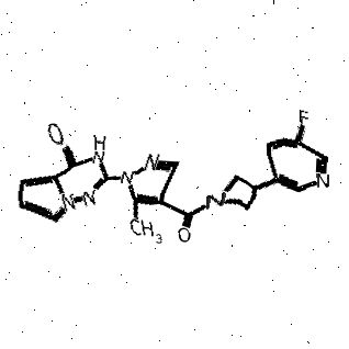 Cc1c(C(=O)N2CC(c3cncc(F)c3)C2)cnn1-c1nn2cccc2c(=O)[nH]1